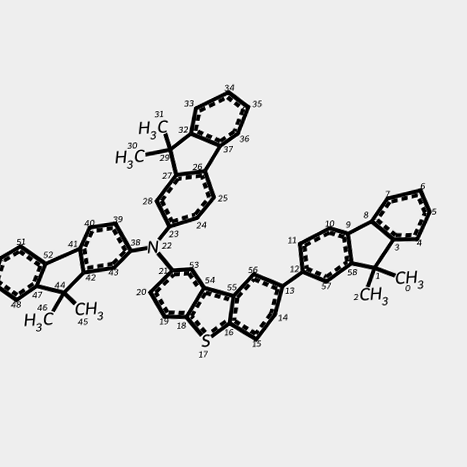 CC1(C)c2ccccc2-c2ccc(-c3ccc4sc5ccc(N(c6ccc7c(c6)C(C)(C)c6ccccc6-7)c6ccc7c(c6)C(C)(C)c6ccccc6-7)cc5c4c3)cc21